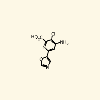 Nc1cc(-c2cnco2)nc(C(=O)O)c1Cl